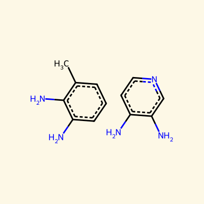 Cc1cccc(N)c1N.Nc1ccncc1N